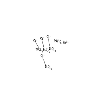 O=[N+]([O-])[O-].O=[N+]([O-])[O-].O=[N+]([O-])[O-].O=[N+]([O-])[O-].[In+3].[NH4+]